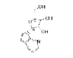 OC[C@H]1O[C@@H](n2ccc3cccnc32)C(O)C1O